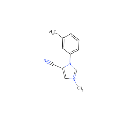 Cc1cccc(-n2c[n+](C)cc2C#N)c1